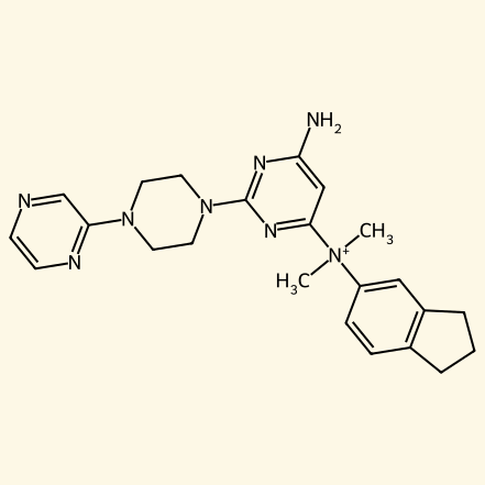 C[N+](C)(c1ccc2c(c1)CCC2)c1cc(N)nc(N2CCN(c3cnccn3)CC2)n1